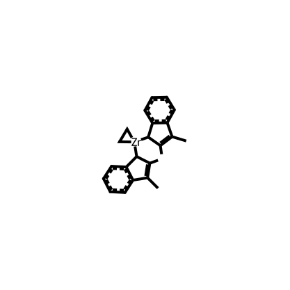 CC1=C(C)[CH]([Zr]2([CH]3C(C)=C(C)c4ccccc43)[CH2][CH2]2)c2ccccc21